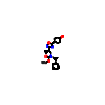 CC(C)(C)OC(=O)N(CC1(c2noc(C3CCC(=O)CC3)n2)CC1)[C@@H]1C[C@H]1c1ccccc1